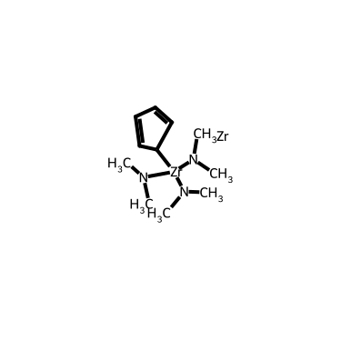 C[N](C)[Zr]([CH]1C=CC=C1)([N](C)C)[N](C)C.[Zr]